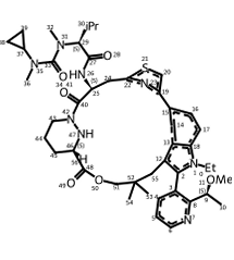 CCn1c(-c2cccnc2[C@H](C)OC)c2c3cc(ccc31)-c1csc(n1)C[C@H](NC(=O)[C@H](C(C)C)N(C)C(=O)N(C)C1CC1)C(=O)N1CCC[C@H](N1)C(=O)OCC(C)(C)C2